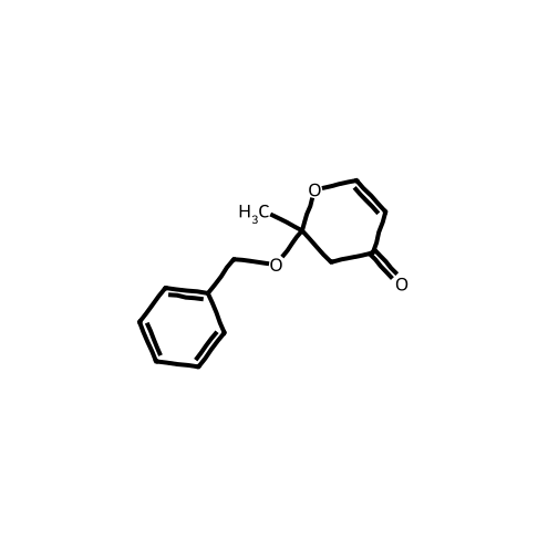 CC1(OCc2ccccc2)CC(=O)C=CO1